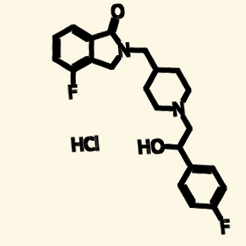 Cl.O=C1c2cccc(F)c2CN1CC1CCN(CC(O)c2ccc(F)cc2)CC1